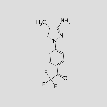 CC1CN(c2ccc(C(=O)C(F)(F)F)cc2)N=C1N